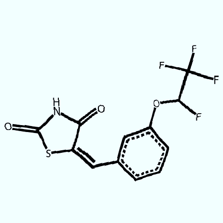 O=C1NC(=O)/C(=C\c2cccc(OC(F)C(F)(F)F)c2)S1